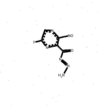 NN=NC(=O)c1nc(F)cnc1N=O